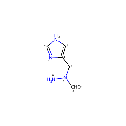 NN([C]=O)Cc1c[nH]cn1